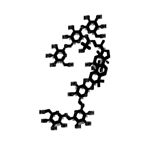 C[C@H](CC[C@@H](O[C@@H]1O[C@H](CO[C@@H]2O[C@H](CO)[C@@H](O)[C@H](O)[C@H]2O)[C@@H](O)[C@H](O)[C@H]1O[C@@H]1O[C@H](CO)[C@@H](O)[C@H](O)[C@H]1O)C(C)(C)O)[C@H]1CC[C@@]2(C)[C@@H]3CC=C4[C@@H](CC[C@H](O[C@@H]5O[C@H](CO[C@@H]6O[C@H](CO[C@@H]7O[C@H](CO)[C@@H](O)[C@H](O)[C@H]7O)[C@@H](O)[C@H](O)[C@H]6O)[C@@H](O)[C@H](O)[C@H]5O)C4(C)C)[C@]3(C)[C@H](O)C[C@]12C